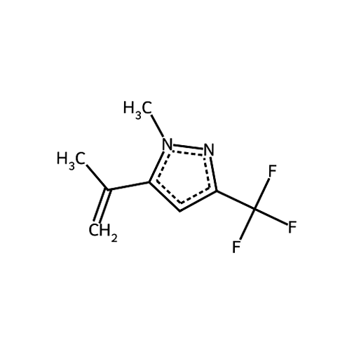 C=C(C)c1cc(C(F)(F)F)nn1C